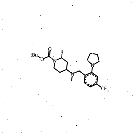 C[C@H]1CC(N(C)Cc2ccc(C(F)(F)F)cc2N2CCCC2)CCN1C(=O)OC(C)(C)C